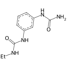 CCNC(=O)Nc1cccc(NC(N)=O)c1